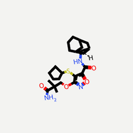 CC(C)(COc1noc(C(=O)N[C@@H]2C3CC4CCCC2(C4)C3)c1SC1CCCC1)C(N)=O